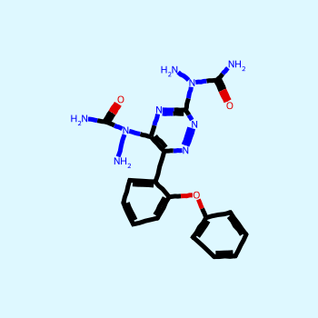 NC(=O)N(N)c1nnc(-c2ccccc2Oc2ccccc2)c(N(N)C(N)=O)n1